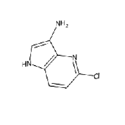 Nc1c[nH]c2ccc(Cl)nc12